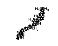 C[C@H]1CN(C2CCN(c3ccc4c(c3)C(=O)N(C3CCC(=O)NC3=O)C4=O)CC2)CCN1c1ccc(Nc2cc(N3CCCC(N4CCn5c(cc6c5CC(C)(C)C6)C4=O)C3CO)cn(C)c2=O)nc1